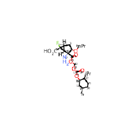 CCCO[C@@H]1C[C@@H]2[C@H]([C@]1(N)C(=O)OCOC(=O)O[C@@H]1C[C@H](C)CCC1C(C)C)[C@@]2(F)C(=O)O